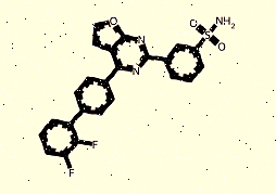 NS(=O)(=O)c1cccc(-c2nc(-c3ccc(-c4cccc(F)c4F)cc3)c3ccoc3n2)c1